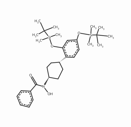 CC(C)(C)[Si](C)(C)Oc1ccc([C@H]2CC[C@H](N(O)C(=O)c3ccccc3)CC2)c(O[Si](C)(C)C(C)(C)C)c1